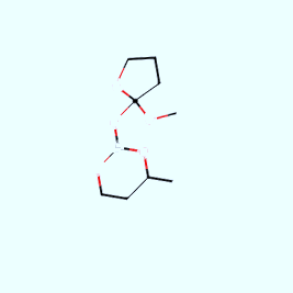 COC1(OB2OCCC(C)O2)CCCO1